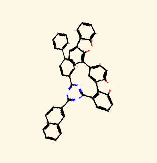 C1=CC(c2ccccc2)CC=C1c1nc(-c2ccc3ccccc3c2)nc(-c2cccc3oc4ccc(-c5cccc6c5oc5ccccc56)cc4c23)n1